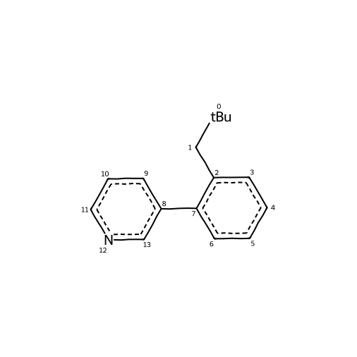 CC(C)(C)Cc1ccccc1-c1cccnc1